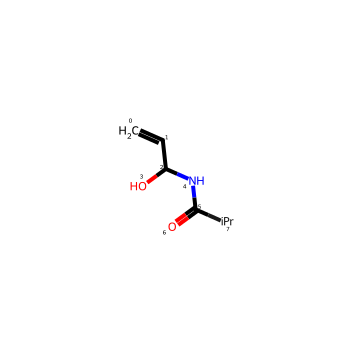 C=CC(O)NC(=O)C(C)C